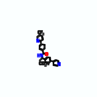 O=C(O)CC(NC(=O)c1ccc(-c2ccc(C(F)(F)F)cn2)cc1)c1ccc(-c2ccncc2)cc1